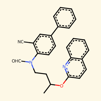 CC(CCN(C=O)c1ccc(-c2ccccc2)cc1C#N)Oc1ccc2ccccc2n1